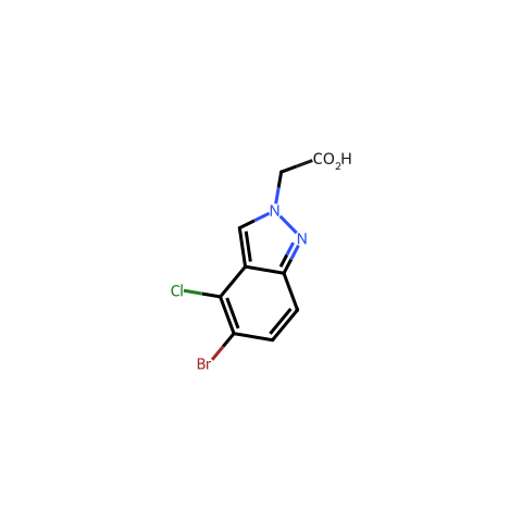 O=C(O)Cn1cc2c(Cl)c(Br)ccc2n1